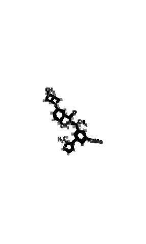 COc1cc(-c2ccnn2C)cc([C@@H](C)NC(=O)c2cc(N3CC4C3CN4C)ccc2C)c1